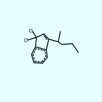 CCCC(C)C1=CC(Cl)(Cl)c2ccccc21